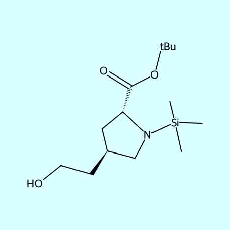 CC(C)(C)OC(=O)[C@H]1C[C@H](CCO)CN1[Si](C)(C)C